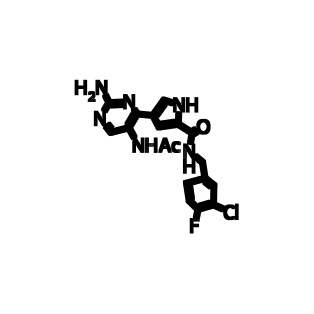 CC(=O)Nc1cnc(N)nc1-c1c[nH]c(C(=O)NCc2ccc(F)c(Cl)c2)c1